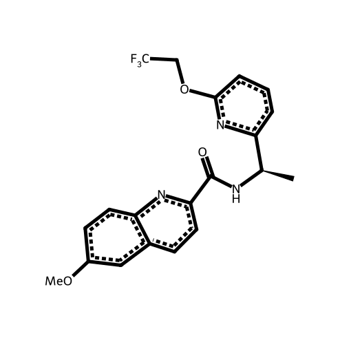 COc1ccc2nc(C(=O)N[C@H](C)c3cccc(OCC(F)(F)F)n3)ccc2c1